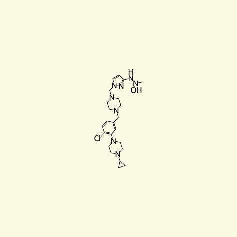 CN(O)Nc1ccn(CN2CCN(Cc3ccc(Cl)c(N4CCN(C5CC5)CC4)c3)CC2)n1